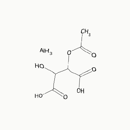 CC(=O)OC(C(=O)O)C(O)C(=O)O.[AlH3]